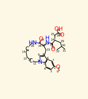 COc1ccc2c(c1)c1cn2CCCCCCNC(=O)[C@@H](NC(=O)[C@@H](CC(=O)O)CC(C)C)C1